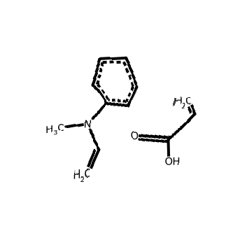 C=CC(=O)O.C=CN(C)c1ccccc1